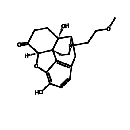 COCCN1CC[C@]23c4c5ccc(O)c4O[C@H]2C(=O)CC[C@@]3(O)C1C5